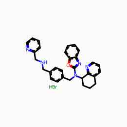 Br.c1ccc(CNCc2ccc(CN(c3nc4ccccc4o3)C3CCCc4cccnc43)cc2)nc1